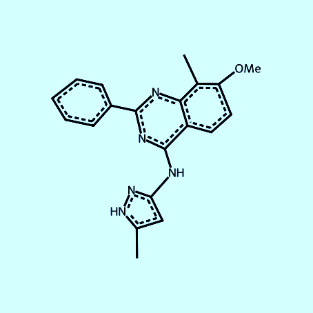 COc1ccc2c(Nc3cc(C)[nH]n3)nc(-c3ccccc3)nc2c1C